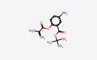 C=C(C)C(=O)Oc1ccc(N)cc1C(=O)OC(C)(C)C